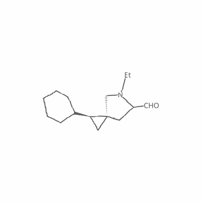 CCN1C[C@]2(CC1C=O)C[C@H]2C1CCCCC1